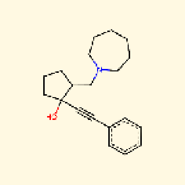 OC1(C#Cc2ccccc2)CCCC1CN1CCCCCC1